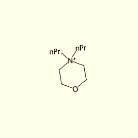 CCC[N+]1(CCC)CCOCC1